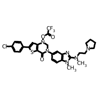 CN(CCN1CCCC1)c1nc2cc(N3CN(OC(=O)C(F)(F)F)c4cc(-c5ccc(Cl)cc5)sc4C3=O)ccc2n1C